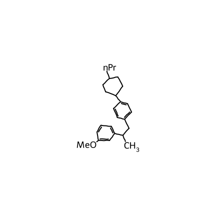 CCCC1CCC(c2ccc(CC(C)c3cccc(OC)c3)cc2)CC1